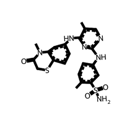 Cc1ccc(Nc2ncc(C)c(Nc3ccc4c(c3)N(C)C(=O)CS4)n2)cc1S(N)(=O)=O